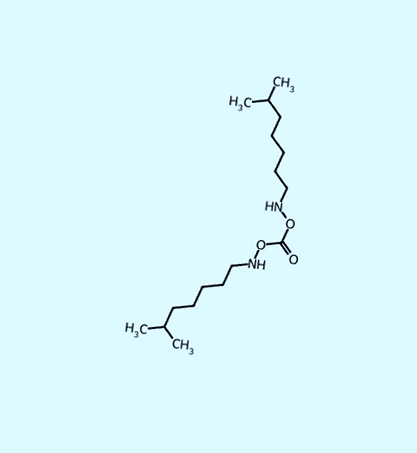 CC(C)CCCCCNOC(=O)ONCCCCCC(C)C